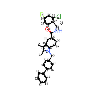 Cc1c(C)n(Cc2ccc(-c3ccccc3)cc2)c2ccc(C(=O)N[C@@H](C)c3ccc(F)cc3Cl)cc12